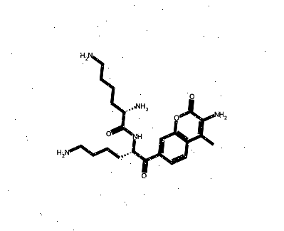 Cc1c(N)c(=O)oc2cc(C(=O)[C@H](CCCCN)NC(=O)[C@@H](N)CCCCN)ccc12